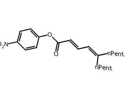 CCCCCC(=C/C=C/C(=O)Oc1ccc([N+](=O)[O-])cc1)CCCCC